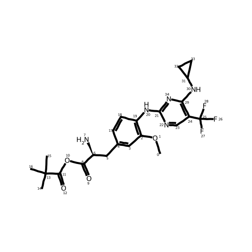 COc1cc(C[C@H](N)C(=O)OC(=O)C(C)(C)C)ccc1Nc1ncc(C(F)(F)F)c(NC2CC2)n1